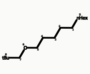 CCCCCCCCCCCOCC(C)(C)C